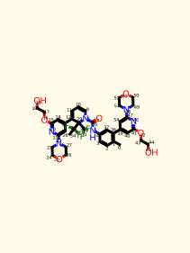 Cc1ccc(NC(=O)N2C=CC=C(c3cc(OCCO)nc(N4CCOCC4)c3)C2(C(F)F)C(C)(F)F)cc1-c1cc(OCCO)nc(N2CCOCC2)c1